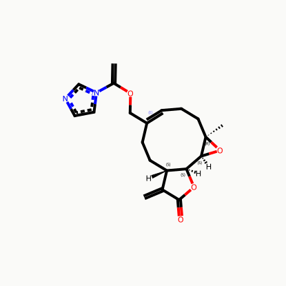 C=C1C(=O)O[C@H]2[C@H]1CC/C(COC(=C)n1ccnc1)=C\CC[C@@]1(C)O[C@@H]21